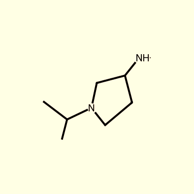 CC(C)N1CCC([NH])C1